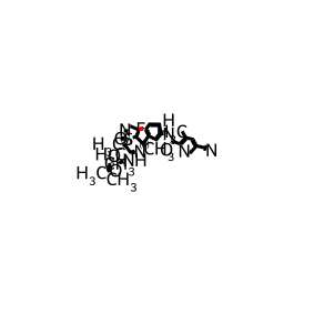 Cc1cc(C#N)cnc1C(=O)Nc1ccc(F)c([C@@]2(C)N=C(NC(=O)OC(C)(C)C)C(C)(C)[S@@]3(=O)=NCCC23)c1